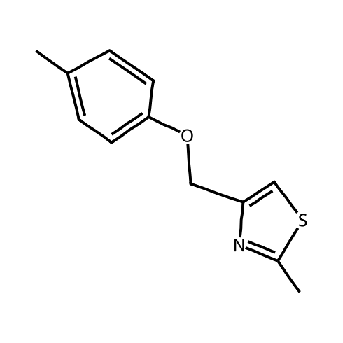 Cc1ccc(OCc2csc(C)n2)cc1